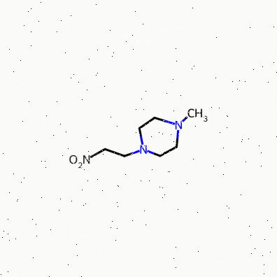 CN1CCN(CC[N+](=O)[O-])CC1